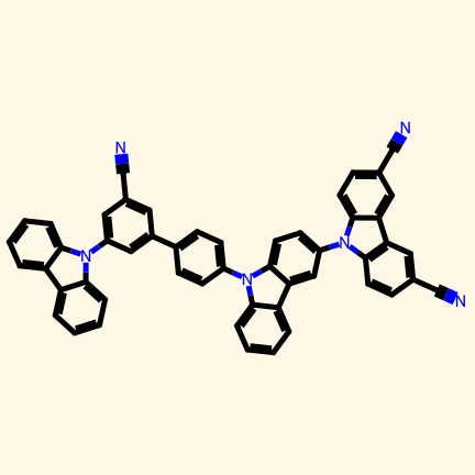 N#Cc1cc(-c2ccc(-n3c4ccccc4c4cc(-n5c6ccc(C#N)cc6c6cc(C#N)ccc65)ccc43)cc2)cc(-n2c3ccccc3c3ccccc32)c1